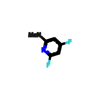 CNc1cc(F)cc(F)n1